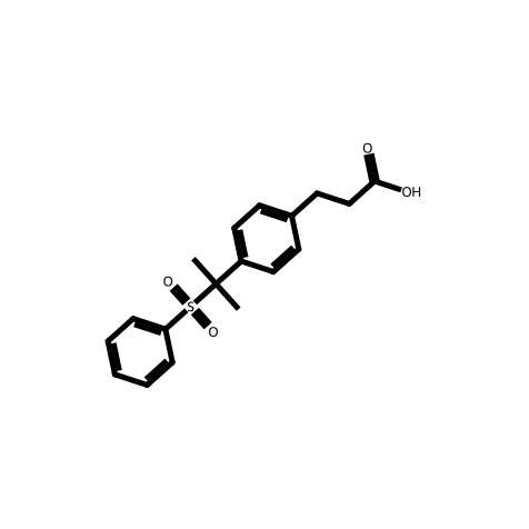 CC(C)(c1ccc(CCC(=O)O)cc1)S(=O)(=O)c1ccccc1